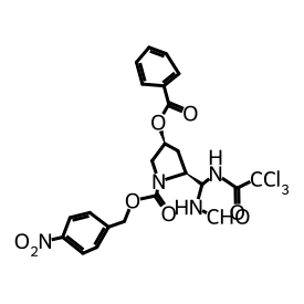 O=CNC(NC(=O)C(Cl)(Cl)Cl)[C@@H]1C[C@H](OC(=O)c2ccccc2)CN1C(=O)OCc1ccc([N+](=O)[O-])cc1